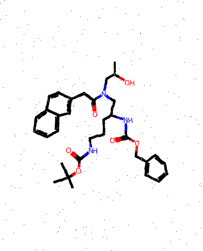 CC(O)CN(CC(CCCNC(=O)OC(C)(C)C)NC(=O)OCc1ccccc1)C(=O)Cc1ccc2ccccc2c1